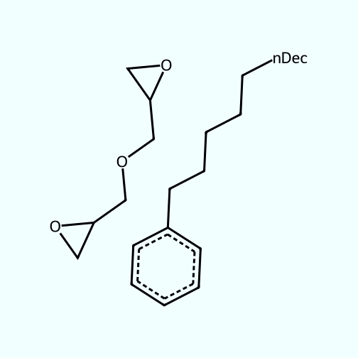 C(OCC1CO1)C1CO1.CCCCCCCCCCCCCCCc1ccccc1